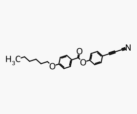 CCCCCCOc1ccc(C(=O)Oc2ccc(C#CC#N)cc2)cc1